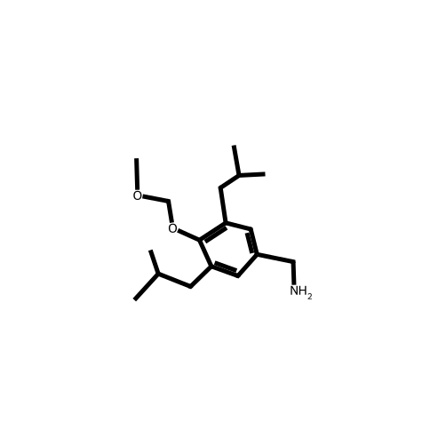 COCOc1c(CC(C)C)cc(CN)cc1CC(C)C